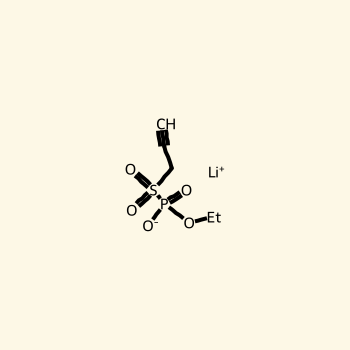 C#CCS(=O)(=O)P(=O)([O-])OCC.[Li+]